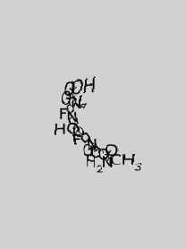 CC(N)C(=O)OCC1CN(c2ccc(OCC3(O)CCN(c4cc5c(cc4F)c(=O)c(C(=O)O)cn5C4CC4)CC3)c(F)c2)C(=O)O1